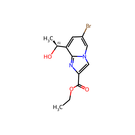 CCOC(=O)c1cn2cc(Br)cc([C@H](C)O)c2n1